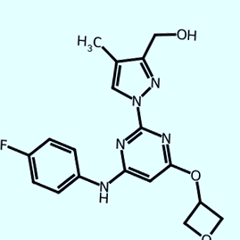 Cc1cn(-c2nc(Nc3ccc(F)cc3)cc(OC3COC3)n2)nc1CO